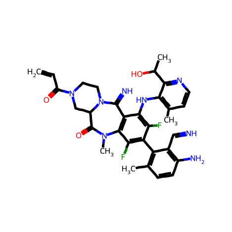 C=CC(=O)N1CCN2C(=N)c3c(Nc4c(C)ccnc4C(C)O)c(F)c(-c4c(C)ccc(N)c4C=N)c(F)c3N(C)C(=O)C2C1